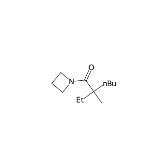 CCCCC(C)(CC)C(=O)N1CCC1